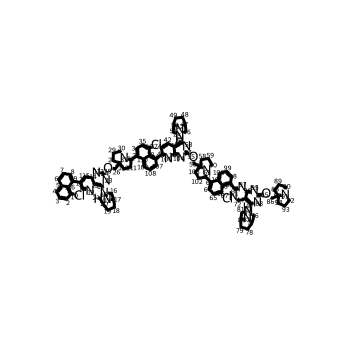 Clc1cccc2cccc(-c3cnc4c(N5CC6CCC(C5)N6)nc(OCC56CCCN5C(c5ccc(Cl)c7c(-c8ccc9c(N%10CC%11CCC(C%10)N%11)nc(OCC%10%11CCCN%10C(c%10ccc(Cl)c%12c(-c%13ncc%14c(N%15CC%16CCC(C%15)N%16)nc(OCC%15%16CCCN%15CCC%16)nc%14n%13)cccc%10%12)CC%11)nc9n8)cccc57)CC6)nc4c3)c12